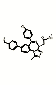 CCNC(=O)C[C@@H]1N=C(c2ccc(Cl)cc2)c2cc(-c3ccc(CBr)cc3)ccc2-n2c(C)nnc21